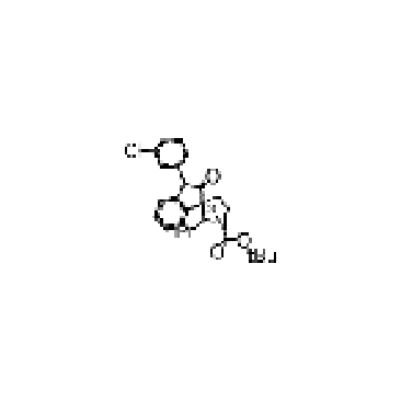 CC(C)C1N(C(=O)OC(C)(C)C)CC[C@@]12C(=O)C(c1cccc(Cl)c1)c1ccccc12